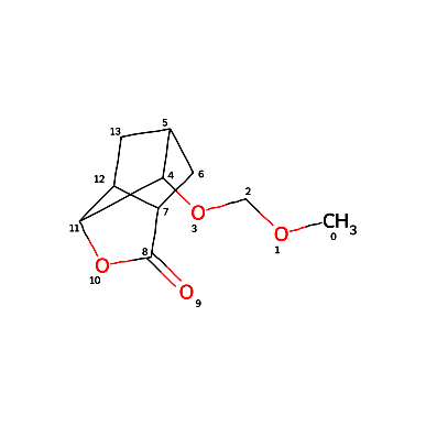 COCOC1C2CC3C(=O)OC1C3C2